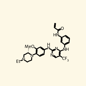 C=CC(=O)Nc1cccc(Nc2nc(Nc3ccc(N4CCN(CC)C[C@@H]4C)c(OC)c3)ncc2C(F)(F)F)c1